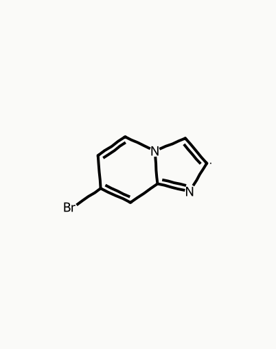 Brc1ccn2c[c]nc2c1